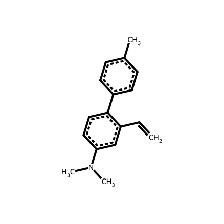 C=Cc1cc(N(C)C)ccc1-c1ccc(C)cc1